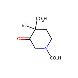 CCC1(C(=O)O)CCN(C(=O)O)CC1=O